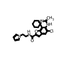 C=C1Nc2c(Cl)cc3cc(C(=O)NCCn4cccc4)oc3c2C2(CCCCC2)N1